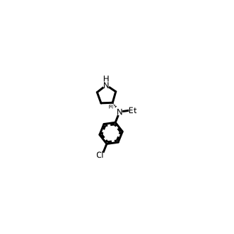 CCN(c1ccc(Cl)cc1)[C@@H]1CCNC1